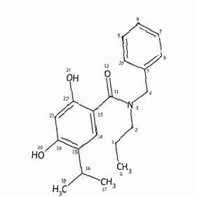 CCCN(Cc1ccccc1)C(=O)c1cc(C(C)C)c(O)cc1O